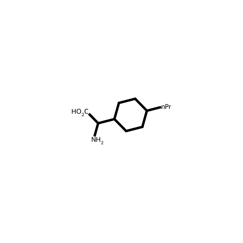 CCCC1CCC(C(N)C(=O)O)CC1